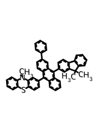 CN1c2ccccc2Sc2ccc(-c3c4ccccc4c(-c4ccc5c(c4)C(C)(C)c4ccccc4-5)c4cc(-c5ccccc5)ccc34)cc21